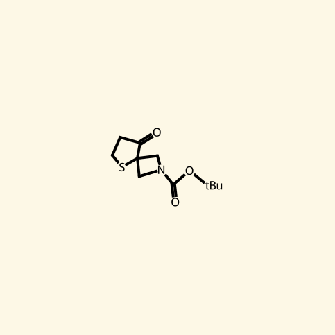 CC(C)(C)OC(=O)N1CC2(C1)SCCC2=O